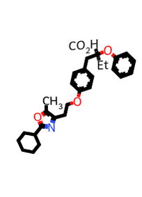 CCC(Cc1ccc(OCCc2nc(C3CCCCC3)oc2C)cc1)(Oc1ccccc1)C(=O)O